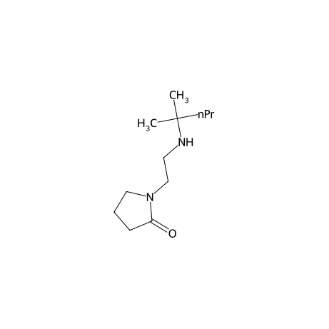 CCCC(C)(C)NCCN1CCCC1=O